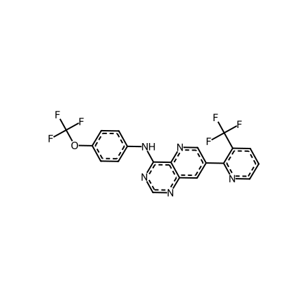 FC(F)(F)Oc1ccc(Nc2ncnc3cc(-c4ncccc4C(F)(F)F)cnc23)cc1